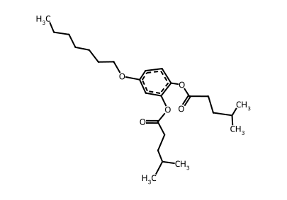 CCCCCCCOc1ccc(OC(=O)CCC(C)C)c(OC(=O)CCC(C)C)c1